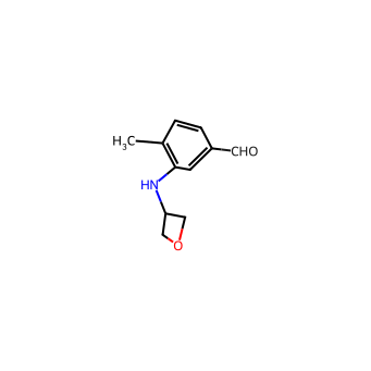 Cc1ccc(C=O)cc1NC1COC1